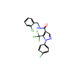 O=C(NCc1ccccc1Cl)c1cnn(-c2ccc(F)cc2)c1C(F)(F)F